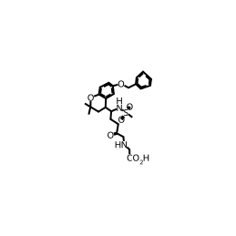 CC1(C)CC(C(CCC(=O)CNCC(=O)O)NS(C)(=O)=O)c2cc(OCc3ccccc3)ccc2O1